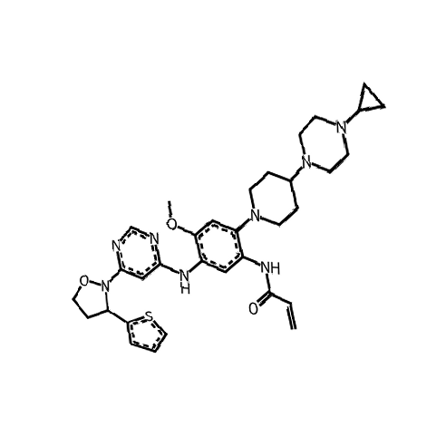 C=CC(=O)Nc1cc(Nc2cc(N3OCCC3c3cccs3)ncn2)c(OC)cc1N1CCC(N2CCN(C3CC3)CC2)CC1